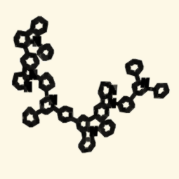 c1ccc(-c2cc(-c3ccc(-c4cc(-c5ccc6c(c5)c5cccnc5n6-c5cccc(-c6cc(-c7ccccc7)nc(-c7ccccc7)c6)c5)c5c(c4)c4ccccc4n5-c4ccccc4)cc3)nc(-c3cccc(-n4c5ccc(-c6cccc7c8ccccc8n(-c8ccccc8)c67)cc5c5cccnc54)c3)c2)cc1